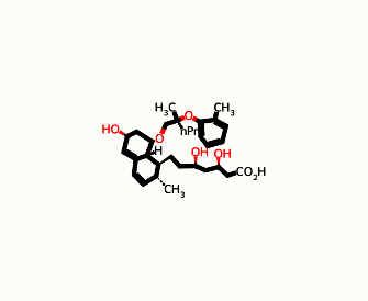 CCC[C@](C)(CO[C@H]1C[C@H](O)C=C2C=C[C@@H](C)[C@H](CC[C@@H](O)C[C@@H](O)CC(=O)O)[C@H]21)Oc1ccccc1C